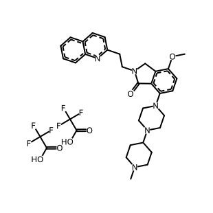 COc1ccc(N2CCN(C3CCN(C)CC3)CC2)c2c1CN(CCc1ccc3ccccc3n1)C2=O.O=C(O)C(F)(F)F.O=C(O)C(F)(F)F